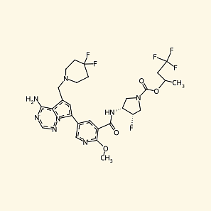 COc1ncc(-c2cc(CN3CCC(F)(F)CC3)c3c(N)ncnn23)cc1C(=O)N[C@@H]1CN(C(=O)OC(C)CC(F)(F)F)C[C@@H]1F